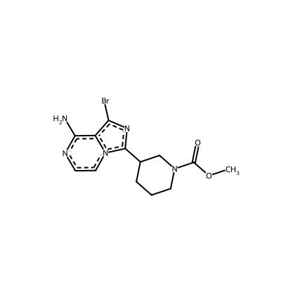 COC(=O)N1CCCC(c2nc(Br)c3c(N)nccn23)C1